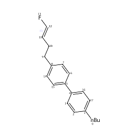 CCCCc1ccc(-c2ccc(CC/C=C/F)cc2)cc1